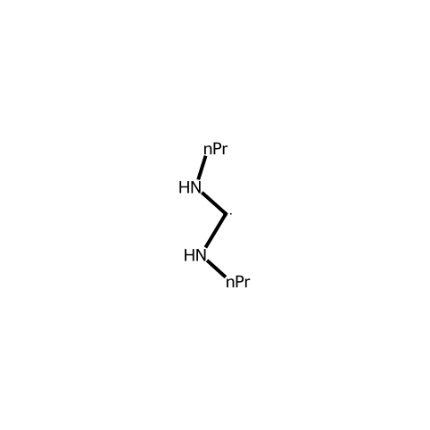 CCCN[CH]NCCC